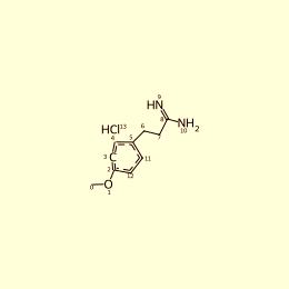 COc1ccc(CCC(=N)N)cc1.Cl